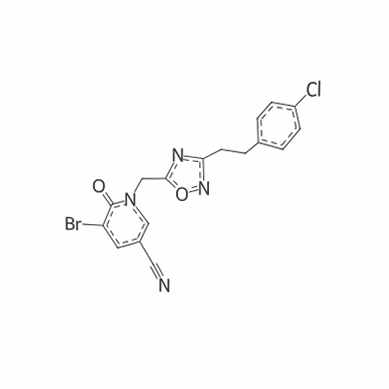 N#Cc1cc(Br)c(=O)n(Cc2nc(CCc3ccc(Cl)cc3)no2)c1